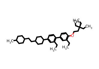 CCc1cc(-c2ccc(C3CCC(CCC4CCC(C)CC4)CC3)cc2CC)ccc1OCCC(CC)(CC)CC